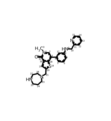 Cn1cc(-c2cccc(NCc3ccccn3)c2)c2sc(CN3CCCNCC3)cc2c1=O